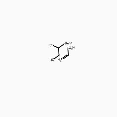 C=CC(=O)O.CCCCCC(CC)CO